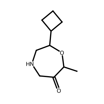 CC1OC(C2CCC2)CNCC1=O